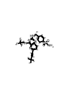 C[C@@H](Nc1nc(NCC(F)(F)F)c2nc(C#CC(C)(C)C)ccc2n1)C1=CCC(S(N)(=O)=O)C=C1